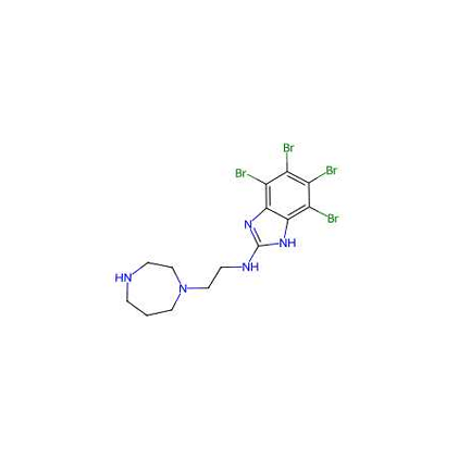 Brc1c(Br)c(Br)c2[nH]c(NCCN3CCCNCC3)nc2c1Br